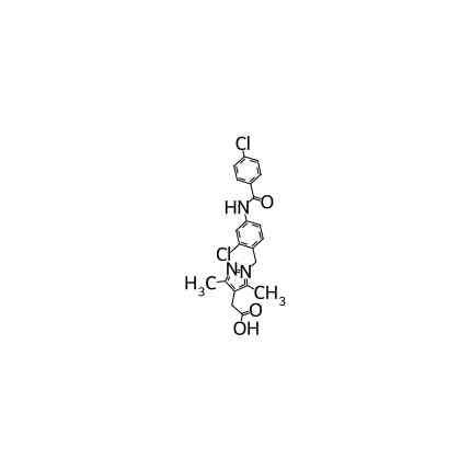 Cc1nn(Cc2ccc(NC(=O)c3ccc(Cl)cc3)cc2Cl)c(C)c1CC(=O)O